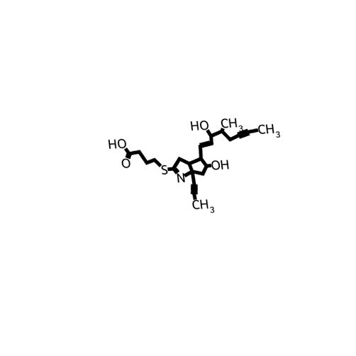 CC#CCC(C)C(O)C=CC1C(O)CC2(C#CC)N=C(SCCCC(=O)O)CC12